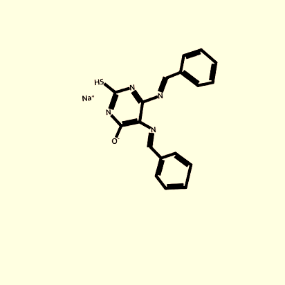 [Na+].[O-]c1nc(S)nc(/N=C/c2ccccc2)c1/N=C/c1ccccc1